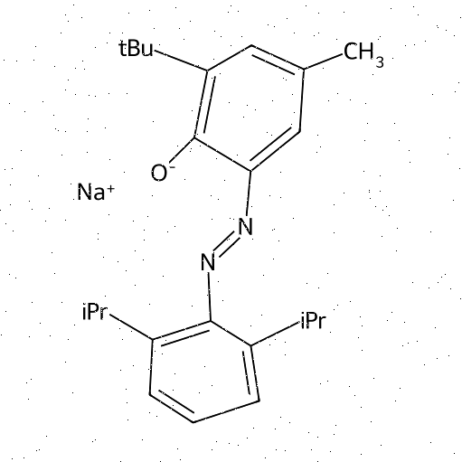 Cc1cc(N=Nc2c(C(C)C)cccc2C(C)C)c([O-])c(C(C)(C)C)c1.[Na+]